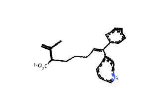 C=C(C)C(CCCC=C(c1ccccc1)c1cccnc1)C(=O)O